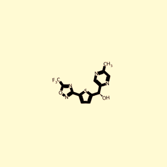 Cc1cnc([C@H](O)c2ccc(-c3noc(C(F)(F)F)n3)s2)cn1